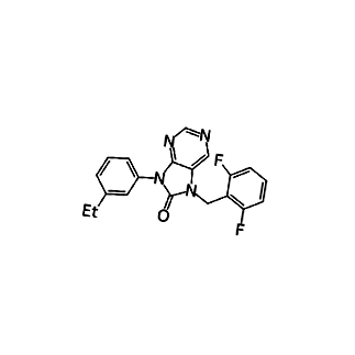 CCc1cccc(-n2c(=O)n(Cc3c(F)cccc3F)c3cncnc32)c1